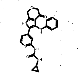 O=C(Nc1cc(-c2[nH]c3c(c2Nc2ccccc2)C(=O)COC3)ccn1)NC1CC1